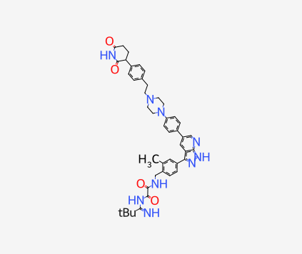 Cc1cc(-c2n[nH]c3ncc(-c4ccc(N5CCN(CCc6ccc(C7CCC(=O)NC7=O)cc6)CC5)cc4)cc23)ccc1CNC(=O)C(=O)NC(=N)C(C)(C)C